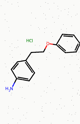 Cl.Nc1ccc(CCOc2ccccc2)cc1